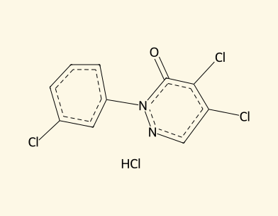 Cl.O=c1c(Cl)c(Cl)cnn1-c1cccc(Cl)c1